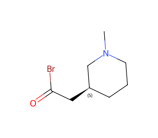 CN1CCC[C@@H](CC(=O)Br)C1